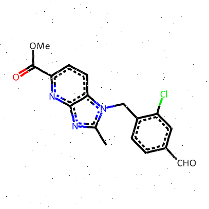 COC(=O)c1ccc2c(n1)nc(C)n2Cc1ccc(C=O)cc1Cl